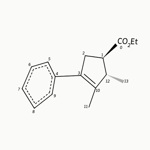 CCOC(=O)[C@@H]1CC(c2ccccc2)=C(C)[C@H]1C